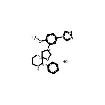 Cl.FC(F)(F)Oc1ccc(-n2cnnc2)cc1[C@H]1CO[C@]2(CCCN[C@H]2c2ccccc2)C1